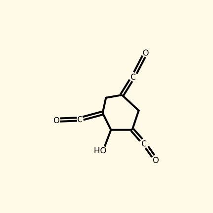 O=C=C1CC(=C=O)C(O)C(=C=O)C1